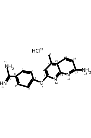 Cc1cc(Oc2ccc(C(=N)N)cc2)nc2nc(N)ccc12.Cl